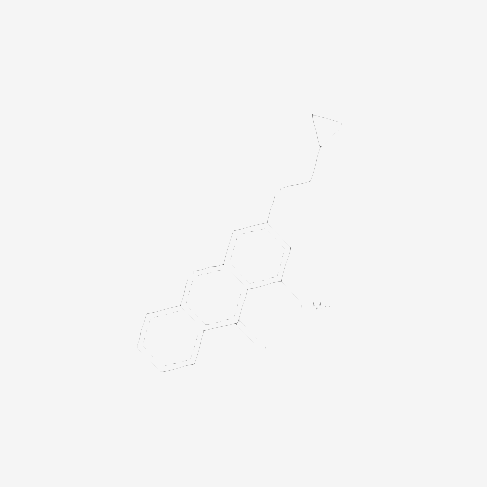 COc1cc(OCC2CO2)cc2oc3ccccc3c(=O)c12